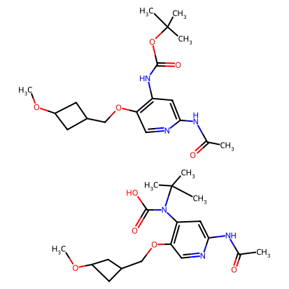 COC1CC(COc2cnc(NC(C)=O)cc2N(C(=O)O)C(C)(C)C)C1.COC1CC(COc2cnc(NC(C)=O)cc2NC(=O)OC(C)(C)C)C1